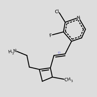 CC1CC(CCN)=C1/C=C/c1ccnc(Cl)c1F